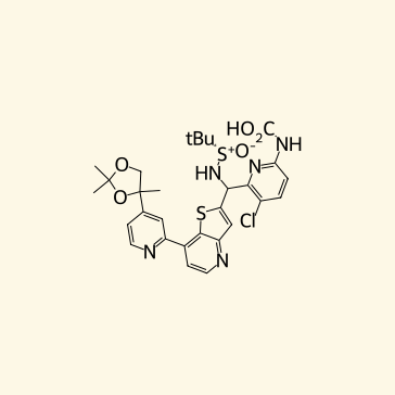 CC1(C)OCC(C)(c2ccnc(-c3ccnc4cc(C(N[S@@+]([O-])C(C)(C)C)c5nc(NC(=O)O)ccc5Cl)sc34)c2)O1